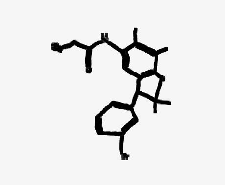 Cc1c(NC(=O)CC(C)(C)C)cc2c(c1C)OC(C)(C)C2c1cccc(C(C)C)c1